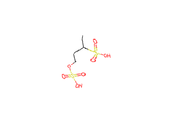 CC(CCOS(=O)(=O)O)S(=O)(=O)O